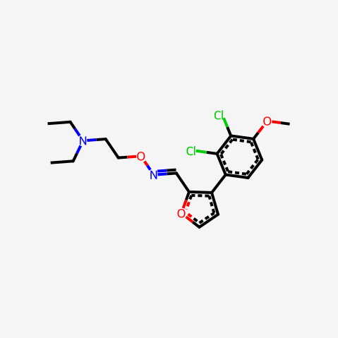 CCN(CC)CCON=Cc1occc1-c1ccc(OC)c(Cl)c1Cl